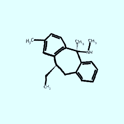 CC[C@@H]1Cc2ccccc2[C@](C)(NC)c2ccc(C)cc21